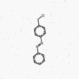 ClCc1ccc(N=Nc2ccccc2)cc1